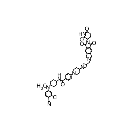 CN(c1ccc(C#N)c(Cl)c1)[C@H]1CC[C@H](NC(=O)c2ccc(N3CCC(N4CC(CN5Cc6cc7c(cc6C5)C(=O)N(C5CCC(=O)NC5=O)C7=O)C4)CC3)cc2)CC1